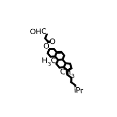 CC(C)CCCCC1CCC2C3CC=C4CC(OC(=O)CCC=O)CCC4(C)C3CCC12C